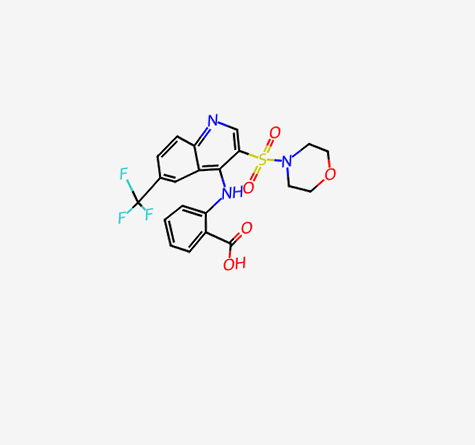 O=C(O)c1ccccc1Nc1c(S(=O)(=O)N2CCOCC2)cnc2ccc(C(F)(F)F)cc12